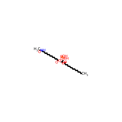 CCCCCCCCCCCCCCC(=O)O[C@H](COC(=O)CCCCCCCCCCCCNC(C)=O)COP(=O)(O)O